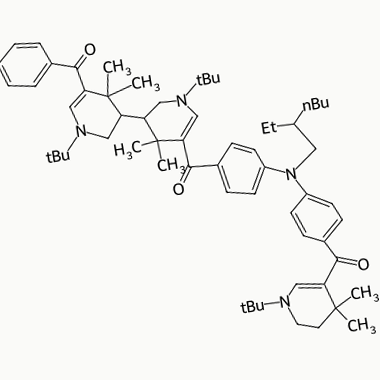 CCCCC(CC)CN(c1ccc(C(=O)C2=CN(C(C)(C)C)CCC2(C)C)cc1)c1ccc(C(=O)C2=CN(C(C)(C)C)CC(C3CN(C(C)(C)C)C=C(C(=O)c4ccccc4)C3(C)C)C2(C)C)cc1